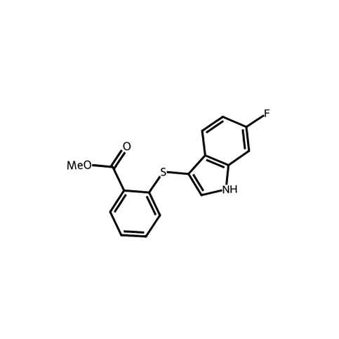 COC(=O)c1ccccc1Sc1c[nH]c2cc(F)ccc12